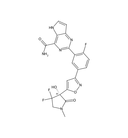 CN1CC(F)(F)[C@@](O)(c2cc(-c3ccc(F)c(-c4nc(C(N)=O)c5[nH]ccc5n4)c3)no2)C1=O